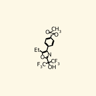 CCc1oc(C(O)(C(F)(F)F)C(F)(F)F)nc1-c1ccc(S(C)(=O)=O)cc1